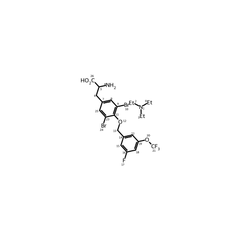 CCN(CC)CC.NC(Cc1cc(Br)c(OCc2cc(F)cc(OC(F)(F)F)c2)c(Br)c1)C(=O)O